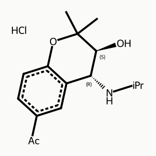 CC(=O)c1ccc2c(c1)[C@@H](NC(C)C)[C@H](O)C(C)(C)O2.Cl